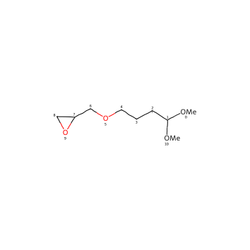 COC([CH]CCOCC1CO1)OC